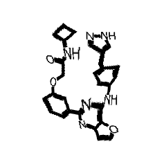 O=C(COc1cccc(-c2nc(Nc3ccc(-c4cn[nH]c4)cc3)c3occc3n2)c1)NC1CCC1